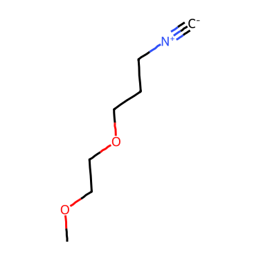 [C-]#[N+]CCCOCCOC